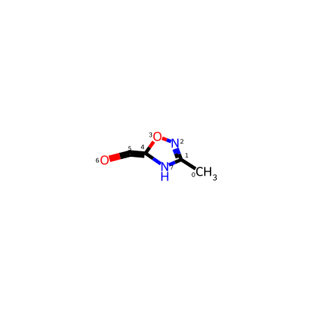 CC1=NOC(=C=O)N1